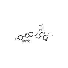 CNC(=O)C1c2cc(-c3ccc(-c4cncc(N)c4)c(C(=O)NCC(C)C)c3)ccc2OC1c1ccc(F)cc1